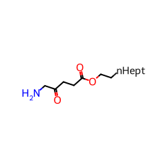 CCCCCCCCCOC(=O)CCC(=O)CN